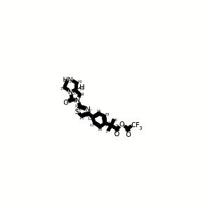 CC(C)(C(=O)OC(=O)C(F)(F)F)c1ccc(-c2csc(N3C[C@@H]4CNCCN4C3=O)n2)cc1